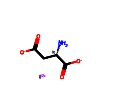 N[C@@H](CC(=O)[O-])C(=O)[O-].[I+2]